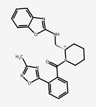 Cc1noc(-c2ccccc2C(=O)N2CCCC[C@H]2CNc2nc3ccccc3o2)n1